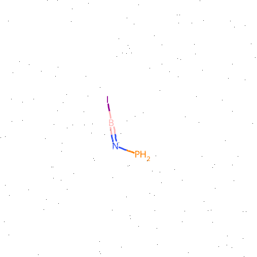 P/N=B/I